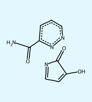 NC(=O)c1cccnn1.O=C1N=CC=C1O